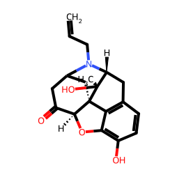 C=CCN1C2CC(=O)[C@@H]3Oc4c(O)ccc5c4[C@]3(C2)[C@](C)(O)[C@H]1C5